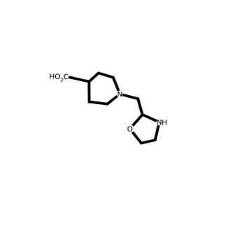 O=C(O)C1CCN(CC2NCCO2)CC1